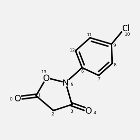 O=C1CC(=O)N(c2ccc(Cl)cc2)O1